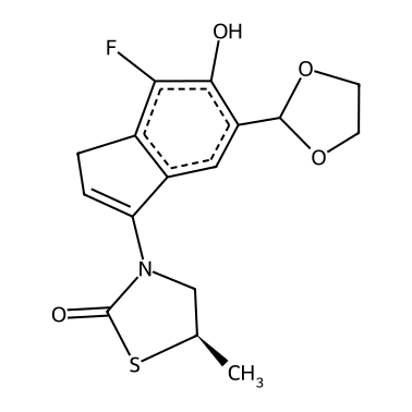 C[C@@H]1CN(C2=CCc3c2cc(C2OCCO2)c(O)c3F)C(=O)S1